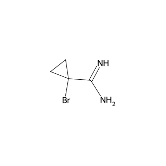 N=C(N)C1(Br)CC1